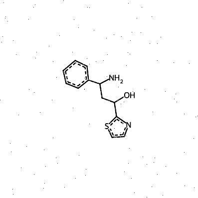 NC(CC(O)c1nccs1)c1ccccc1